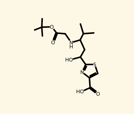 CC(C)C(CC(O)c1nc(C(=O)O)cs1)NCC(=O)OC(C)(C)C